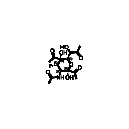 CC(=O)N[C@H]1[C@H](F)[C@@](O)(C(C)=O)[C@@H](C(O)C(C)=O)O[C@@]1(O)C(C)=O